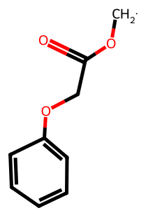 [CH2]OC(=O)COc1ccccc1